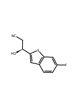 N#CC[C@H](O)c1cc2ccc(F)cc2s1